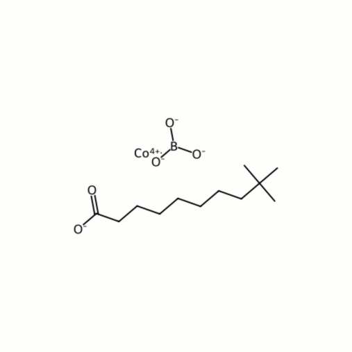 CC(C)(C)CCCCCCCC(=O)[O-].[Co+4].[O-]B([O-])[O-]